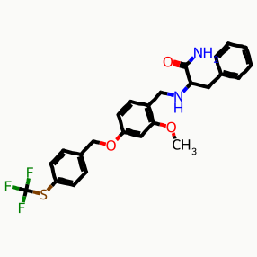 COc1cc(OCc2ccc(SC(F)(F)F)cc2)ccc1CNC(Cc1ccccc1)C(N)=O